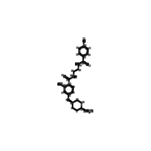 CCOC(=O)[C@H]1CC[C@@H](Oc2ccc(C(=O)NCCNC(=O)c3ccc(Cl)cc3)c(Cl)c2)CC1